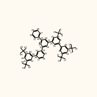 CC(C)(C)c1cc(-c2cc(C(C)(C)C)cc(C(C)(C)C)c2)cc(-c2cc(-c3ccccc3)nc(-c3cccc(-c4cc(C(C)(C)C)cc(C(C)(C)C)c4)c3)c2)c1